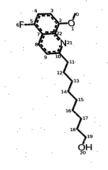 COc1ccc(F)c2ccc(CCCCCCCCCO)nc12